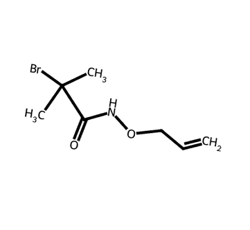 C=CCONC(=O)C(C)(C)Br